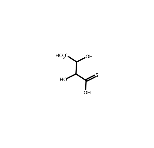 O=C(O)C(O)C(O)C(O)=S